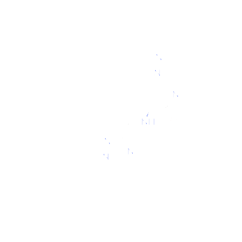 CN1C(=O)[C@@H](NC(=O)c2nc3n(n2)C(C2CCCCC2)CCC3)CCn2nccc21